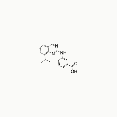 CC(C)c1cccc2cnc(Nc3cccc(C(=O)O)c3)nc12